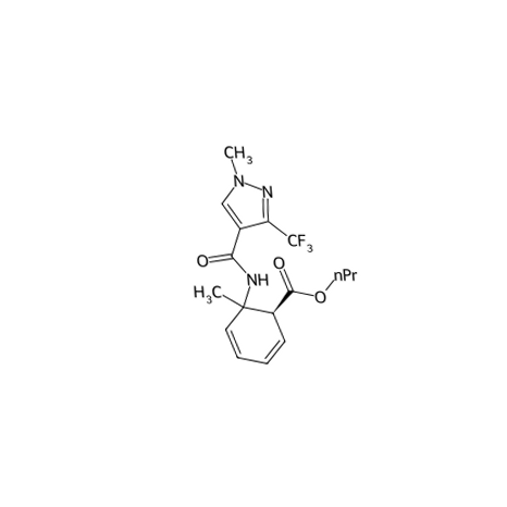 CCCOC(=O)[C@H]1C=CC=CC1(C)NC(=O)c1cn(C)nc1C(F)(F)F